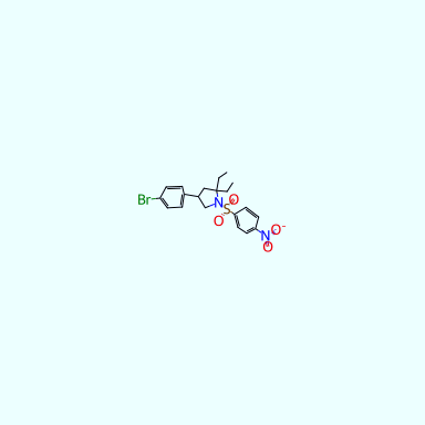 CCC1(CC)CC(c2ccc(Br)cc2)CN1S(=O)(=O)c1ccc([N+](=O)[O-])cc1